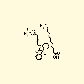 CCCCCCCCCCCC(=O)O.CCN(CC)CC#CCOC(=O)C(O)(c1ccccc1)C1CCCCC1